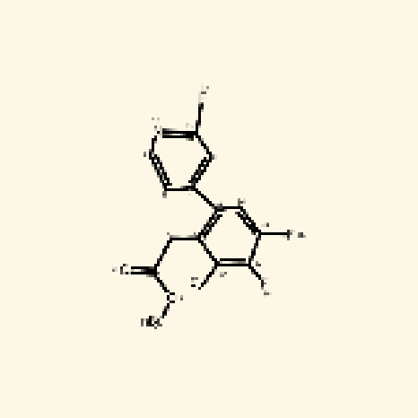 CCCCOC(=O)Cc1c(-c2ccnc(F)c2)cc(F)c(F)c1C(C)C